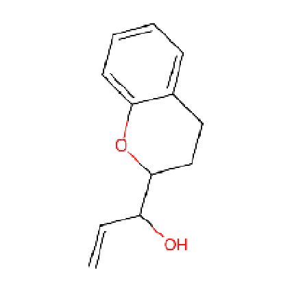 C=CC(O)C1CCc2ccccc2O1